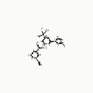 C#Cc1cncc(C(=O)Nc2cc(-n3cnc(C)c3)cc(C(F)(F)F)c2)c1